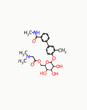 CNC(=O)c1cccc(-c2ccc(OC3OC(COC(=O)CN(C)C)C(O)C(O)C3O)c(C)c2)c1